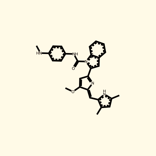 CNc1ccc(NC(=O)n2c(C3=N/C(=C\c4[nH]c(C)cc4C)C(OC)=C3)cc3ccccc32)cc1